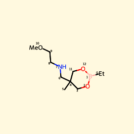 CCB1OCC(C)(CNCCOC)CO1